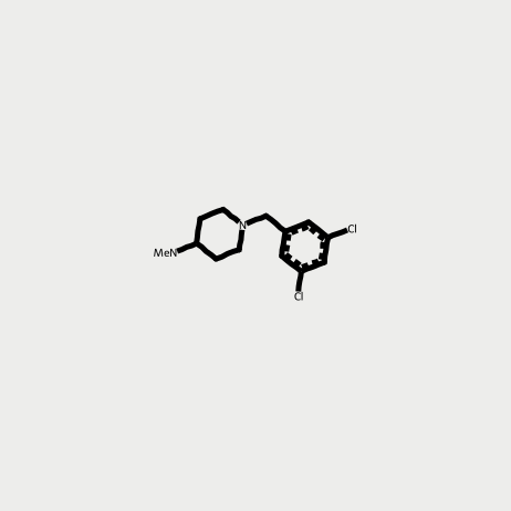 CNC1CCN(Cc2cc(Cl)cc(Cl)c2)CC1